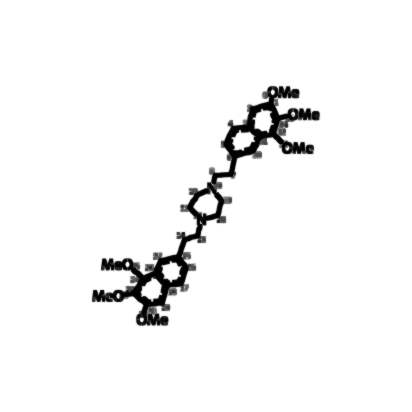 COc1cc2ccc(CCN3CCN(CCc4ccc5cc(OC)c(OC)c(OC)c5c4)CC3)cc2c(OC)c1OC